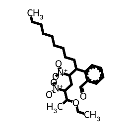 CCCCCCCCCC(c1ccccc1C=O)C(CC(C(C)OCC)[N+](=O)[O-])[N+](=O)[O-]